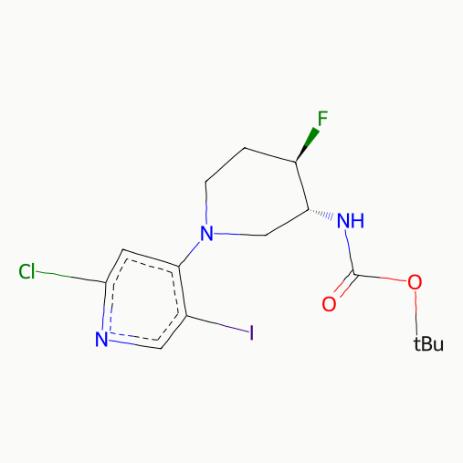 CC(C)(C)OC(=O)N[C@@H]1CN(c2cc(Cl)ncc2I)CC[C@H]1F